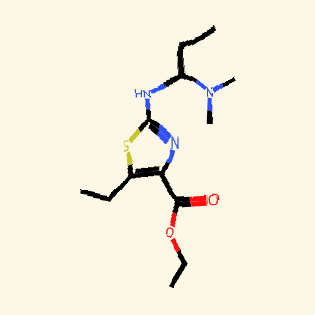 CCOC(=O)c1nc(NC(CC)N(C)C)sc1CC